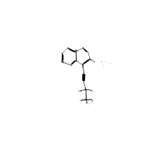 COc1ccc2ccccc2c1C#CC(F)(F)C(F)(F)C(F)(F)F